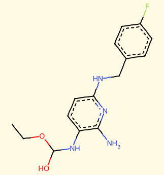 CCOC(O)Nc1ccc(NCc2ccc(F)cc2)nc1N